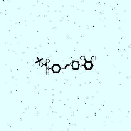 C[C@@H]1CN(c2cccc(Cl)c2Cl)CCN1CC[C@H]1CC[C@H](NC(=O)OC(C)(C)C)CC1